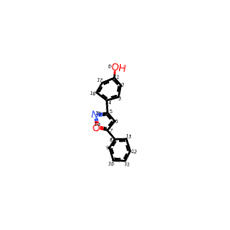 Oc1ccc(-c2cc(-c3ccccc3)on2)cc1